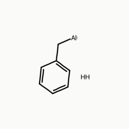 [Al][CH2]c1ccccc1.[HH]